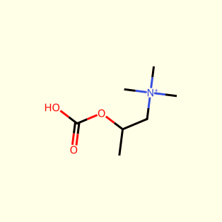 CC(C[N+](C)(C)C)OC(=O)O